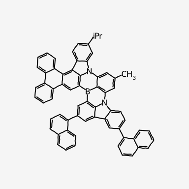 Cc1cc2c3c(c1)-n1c4cc(C(C)C)ccc4c4c5c6ccccc6c6ccccc6c5cc(c41)B3c1cc(-c3cccc4ccccc34)cc3c4cc(-c5cccc6ccccc56)ccc4n-2c13